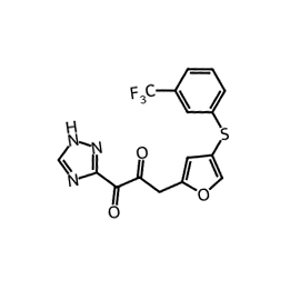 O=C(Cc1cc(Sc2cccc(C(F)(F)F)c2)co1)C(=O)c1nc[nH]n1